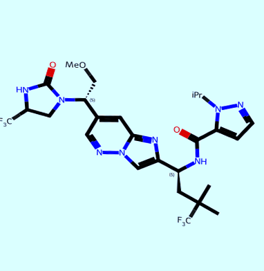 COC[C@H](c1cnn2cc([C@H](CC(C)(C)C(F)(F)F)NC(=O)c3ccnn3C(C)C)nc2c1)N1CC(C(F)(F)F)NC1=O